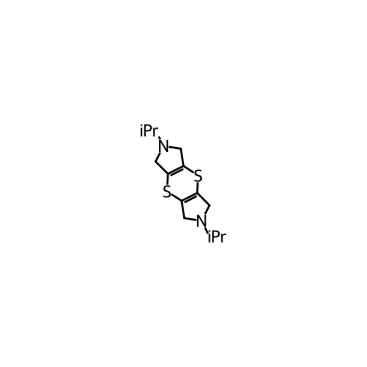 CC(C)N1CC2=C(C1)SC1=C(CN(C(C)C)C1)S2